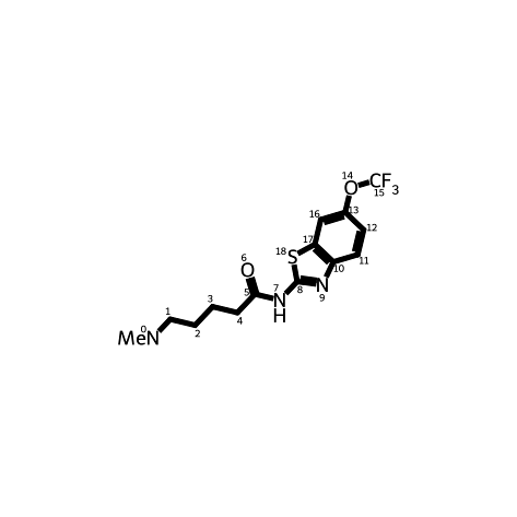 CNCCCCC(=O)Nc1nc2ccc(OC(F)(F)F)cc2s1